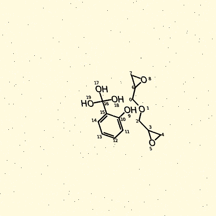 C(OCC1CO1)C1CO1.Oc1ccccc1C(O)(O)O